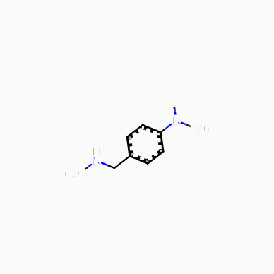 CCCCNCc1ccc(N(C(C)(C)C)C(C)(C)C)cc1